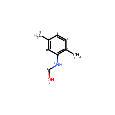 Cc1ccc(C)c(NCO)c1